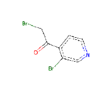 O=C(CBr)c1ccncc1Br